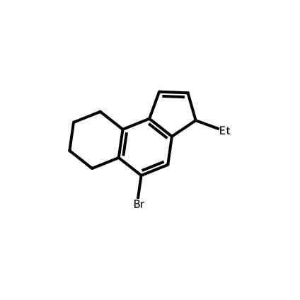 CCC1C=Cc2c1cc(Br)c1c2CCCC1